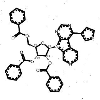 O=C(OC[C@H]1O[C@@H](n2c3cnccc3c3c(-c4ccsc4)ncnc32)[C@H](OC(=O)c2ccccc2)[C@@H]1OC(=O)c1ccccc1)c1ccccc1